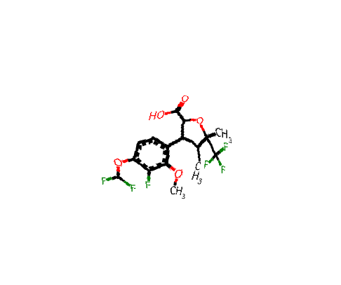 COc1c(C2C(C(=O)O)OC(C)(C(F)(F)F)C2C)ccc(OC(F)F)c1F